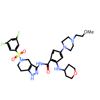 COCCN1CCN(c2ccc(C(=O)Nc3n[nH]c4c3CN(S(=O)(=O)c3cc(F)cc(F)c3)CC4)c(NC3CCOCC3)c2)CC1